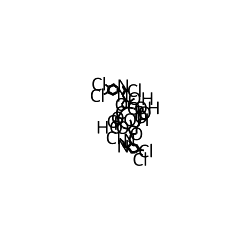 O=P1(O)OCC2OC(n3c(Cl)nc4cc(Cl)c(Cl)cc43)C(OP(=O)(O)OCC3OC(n4c(Cl)nc5cc(Cl)c(Cl)cc54)C(O)C3O1)C2O